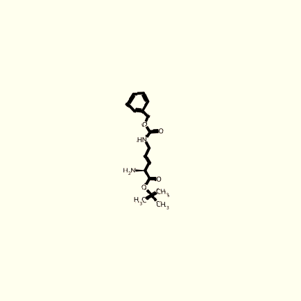 CC(C)(C)OC(=O)[C@@H](N)CCCNC(=O)OCc1ccccc1